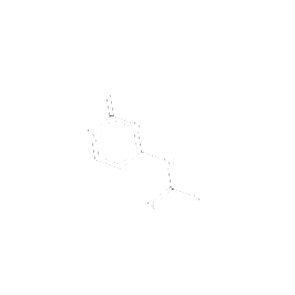 N=C(N)Nc1cc[nH]c(=O)n1